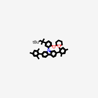 Cc1cc(C)c(-c2ccc3c4ccc(-c5c(C)cc(C)cc5C)cc4n(-c4cc(C(C)(C)CC(C)(C)C)ccc4OC4CCCCO4)c3c2)c(C)c1